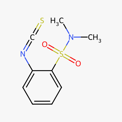 CN(C)S(=O)(=O)c1ccccc1N=C=S